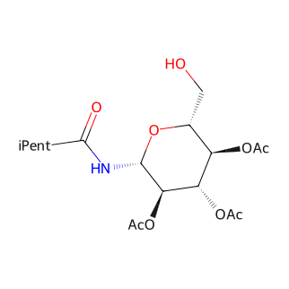 CCCC(C)C(=O)N[C@@H]1O[C@H](CO)[C@@H](OC(C)=O)[C@H](OC(C)=O)[C@H]1OC(C)=O